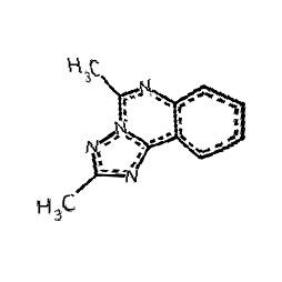 Cc1nc2c3ccccc3nc(C)n2n1